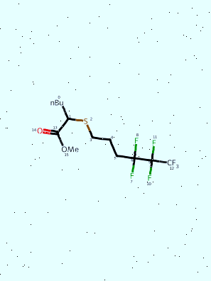 CCCCC(SCCCC(F)(F)C(F)(F)C(F)(F)F)C(=O)OC